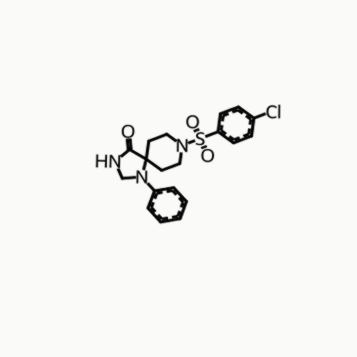 O=C1NCN(c2ccccc2)C12CCN(S(=O)(=O)c1ccc(Cl)cc1)CC2